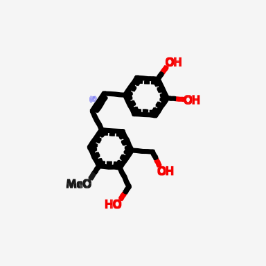 COc1cc(/C=C\c2ccc(O)c(O)c2)cc(CO)c1CO